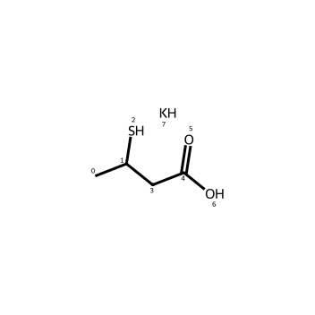 CC(S)CC(=O)O.[KH]